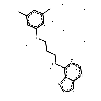 Cc1cc(C)cc(OCCCNc2[nH]cnc3ncnc2-3)c1